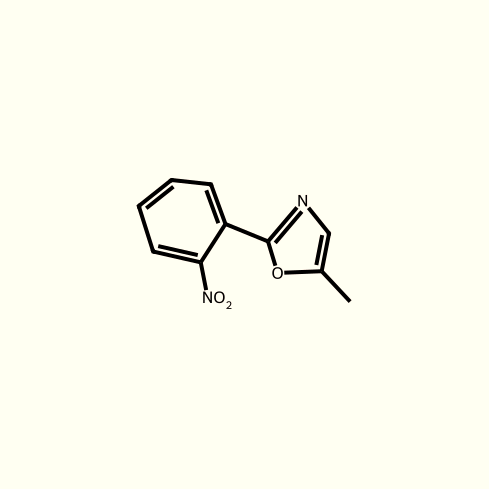 Cc1cnc(-c2ccccc2[N+](=O)[O-])o1